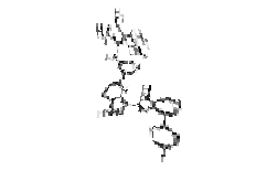 C=C(Nc1cncc(-c2ccc3[nH]nc(-c4nc5c(-c6ccc(F)cc6)cncc5[nH]4)c3n2)c1)C(C)(C)C